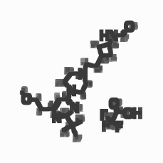 COCCc1cc(N2CCN(CCC3CC(NC=O)C3)CC2)nc(C(C)(C)C)n1.O=C(O)C(F)(F)F